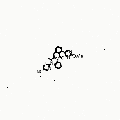 COc1ncc(-c2cccc3cc(C(C)Nc4ncc(C#N)cn4)n(-c4ccccc4)c(=O)c23)cn1